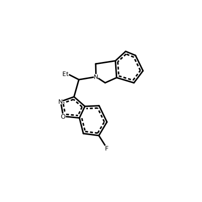 [CH2]CC(c1noc2cc(F)ccc12)N1Cc2ccccc2C1